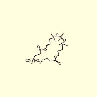 C[Si](C)(CCCOC(=O)CCC(=O)O)O[Si](C)(C)O[Si](C)(C)CCCOC(=O)CCC(=O)O